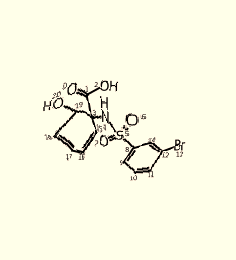 O=C(O)C1(NS(=O)(=O)c2cccc(Br)c2)C=CC=CC1O